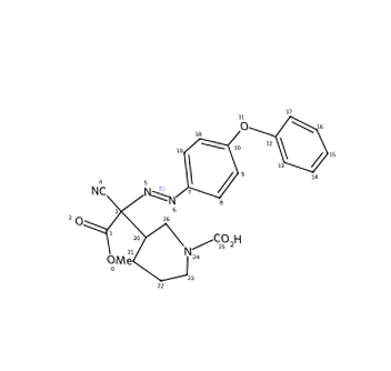 COC(=O)C(C#N)(/N=N/c1ccc(Oc2ccccc2)cc1)C1CCCN(C(=O)O)C1